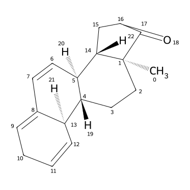 C[C@]12CC[C@H]3[C@@H](C=CC4=CCC=C[C@@H]43)[C@@H]1CCC2=O